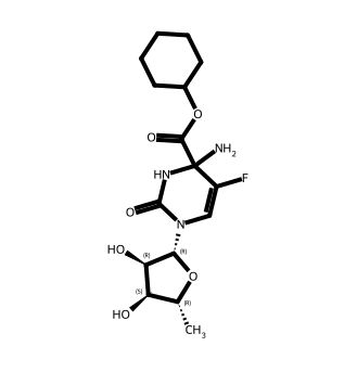 C[C@H]1O[C@@H](N2C=C(F)C(N)(C(=O)OC3CCCCC3)NC2=O)[C@H](O)[C@@H]1O